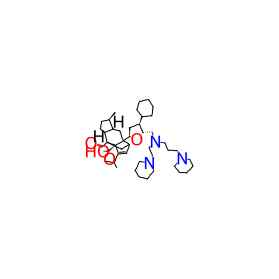 CC(C)C1=CC2CC3(C=O)[C@@H]4CC[C@@H](C)[C@H]4CC2([C@H]2C[C@@H](C4CCCCC4)[C@H](CN(CCCN4CCCCC4)CCN4CCCCC4)O2)[C@]13C(=O)O